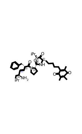 CC1=C(C)C(=O)C(CCCCC[C@H](NC(=O)[C@@H]2CCCN2C(=O)[C@H](/C=C/[C@@H](N)CC(C)C)Cc2ccccc2)C(=O)NC(C)C)=C(C)C1=O